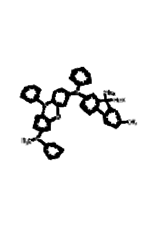 CCCCCCC1(CCCCCC)c2cc(C)ccc2-c2ccc(N(c3ccccc3)c3ccc4c(c3)Oc3cc(N(C)c5ccccc5)ccc3N4c3ccccc3)cc21